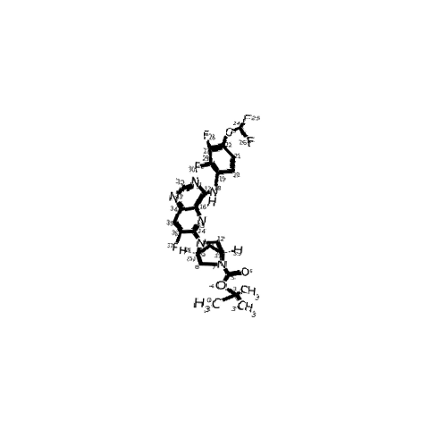 CC(C)(C)OC(=O)N1C[C@@H]2C[C@H]1CN2c1nc2c(Nc3ccc(OC(F)F)c(F)c3F)ncnc2cc1F